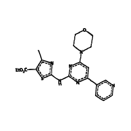 CCOC(=O)c1sc(Nc2nc(-c3cccnc3)cc(N3CCOCC3)n2)nc1C